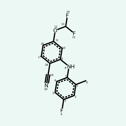 Cc1cc(F)ccc1Nc1cc(OC(F)F)ccc1C#N